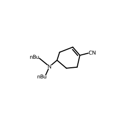 CCCCN(CCCC)C1CC=C(C#N)CC1